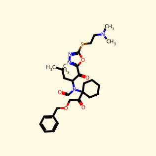 CC(C)CC(C(=O)c1nnc(SCCN(C)C)o1)N(C=O)C1(C(=O)COCc2ccccc2)CCCCC1